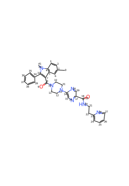 Cc1ccc2c(c1)c(C(=O)N1CCN(c3cnc(C(=O)NCCc4ccccn4)cn3)CC1)c(-c1ccccc1)n2C